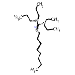 CCCCCCCC/N=C(\N(CC)CC)N(CCC)CCC